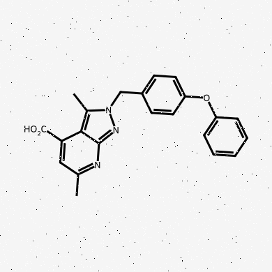 Cc1cc(C(=O)O)c2c(C)n(Cc3ccc(Oc4ccccc4)cc3)nc2n1